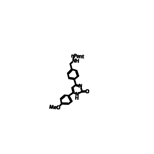 CCCCCNCc1ccc(-c2cc(-c3ccc(OC)cc3)[nH]c(=O)n2)cc1